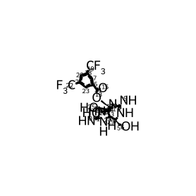 N=C1N[C@H]2[C@H](CO)NC(=N)N3C[C@H](OC(=O)c4cc(C(F)(F)F)cc(C(F)(F)F)c4)C(O)(O)[C@]23N1